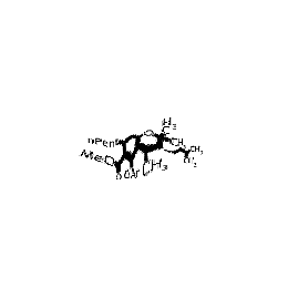 C=C(C)CC[C@@H]1[C@@H](C)c2c(cc(CCCCC)c(C(=O)OC)c2OC(C)=O)OC1(C)C